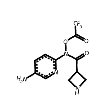 Nc1ccc(N(OC(=O)C(F)(F)F)C(=O)C2CNC2)nc1